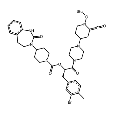 Cc1ccc(C[C@@H](OC(=O)N2CCC(N3CCc4ccccc4NC3=O)CC2)C(=O)N2CCN(C3CCN(OC(C)(C)C)C(=C=O)C3)CC2)cc1Br